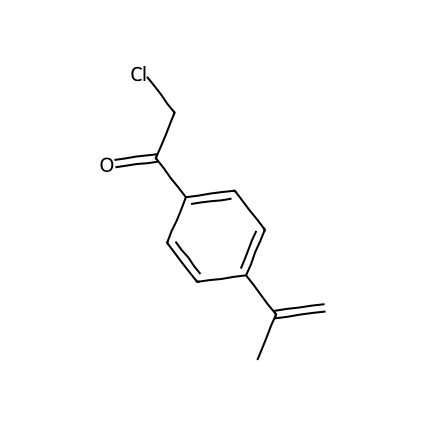 C=C(C)c1ccc(C(=O)CCl)cc1